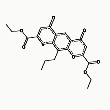 CCCc1c2oc(C(=O)OCC)cc(=O)c2cc2c(=O)cc(C(=O)OCC)sc12